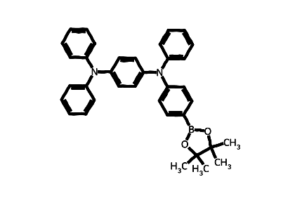 CC1(C)OB(c2ccc(N(c3ccccc3)c3ccc(N(c4ccccc4)c4ccccc4)cc3)cc2)OC1(C)C